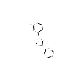 Clc1cccc(-n2cc(-c3ccccn3)nn2)c1